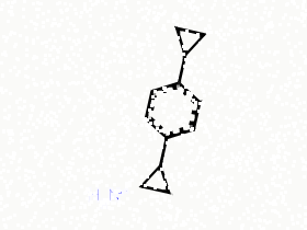 N[C@H]1CC1c1ccc(C2CC2)cc1